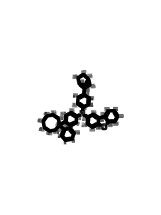 c1ccc(C2(c3ccc(N(c4ccc(C5CC6CCC5C6)cc4)c4ccc5oc6ccccc6c5c4)cc3)CCCCCCC2)cc1